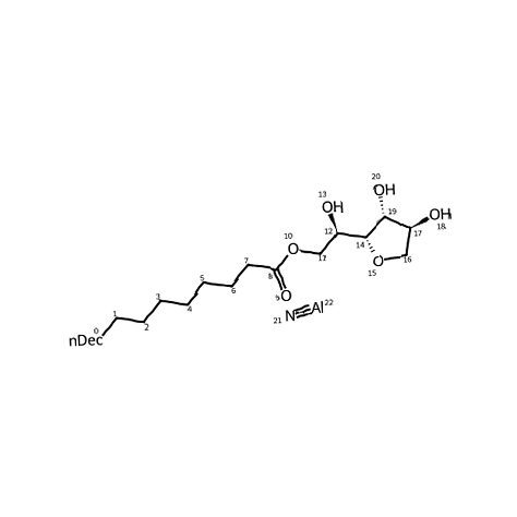 CCCCCCCCCCCCCCCCCC(=O)OC[C@@H](O)[C@H]1OC[C@H](O)[C@H]1O.[N]#[Al]